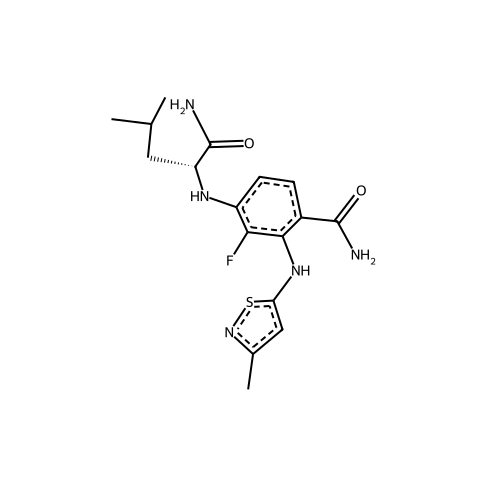 Cc1cc(Nc2c(C(N)=O)ccc(N[C@H](CC(C)C)C(N)=O)c2F)sn1